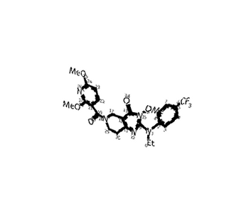 CCN(c1ccc(C(F)(F)F)cc1)c1nc2c(c(=O)n1OC)CN(C(=O)c1ccc(OC)nc1OC)CC2